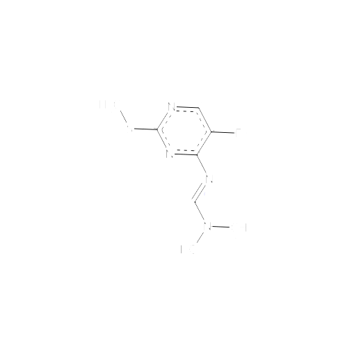 CSc1ncc(F)c(/N=C/N(C)C)n1